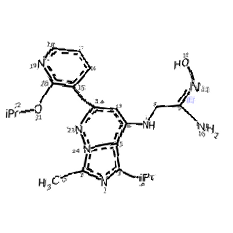 Cc1nc(C(C)C)c2c(NC/C(N)=N\O)cc(-c3cccnc3OC(C)C)nn12